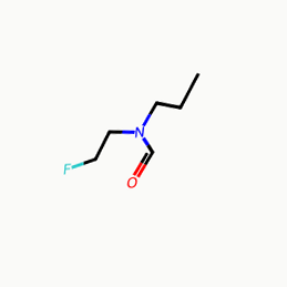 CCCN(C=O)CCF